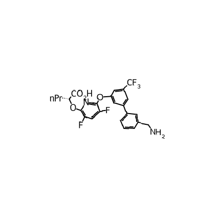 CCC[C@@H](Oc1nc(Oc2cc(-c3cccc(CN)c3)cc(C(F)(F)F)c2)c(F)cc1F)C(=O)O